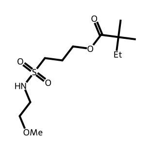 CCC(C)(C)C(=O)OCCCS(=O)(=O)NCCOC